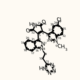 Cn1nc(C2=C(c3nn(CCc4nnn[nH]4)c4ccccc34)C(=O)NC2=O)c2cc(Cl)ccc21